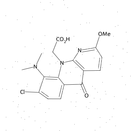 COc1ccc2c(=O)c3ccc(Cl)c(N(C)C)c3n(CC(=O)O)c2n1